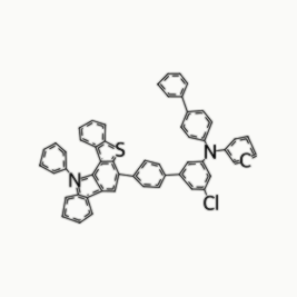 Clc1cc(-c2ccc(-c3cc4c5ccccc5n(-c5ccccc5)c4c4c3sc3ccccc34)cc2)cc(N(c2ccccc2)c2ccc(-c3ccccc3)cc2)c1